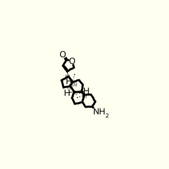 C[C@]12CC[C@H]3[C@@H](CCC4CC(N)CC[C@@]43C)[C@@H]1CC[C@@H]2C1=CC(=O)OC1